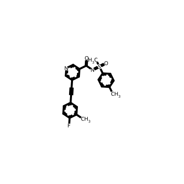 Cc1ccc(S(C)(=O)=NC(=O)c2cncc(C#Cc3ccc(F)c(C)c3)c2)cc1